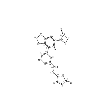 C[C@H]1CCN1c1nc2c(c(-c3cccc(NSc4cn(C)cn4)c3)n1)CCC2